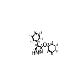 C1=CC(Oc2n[nH]cc2-c2ccccc2)CCC1